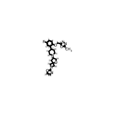 Cc1nnc(COc2ccc(F)cc2C2CCN(C3COC4(C3)CN(c3nnco3)C4)CC2)o1